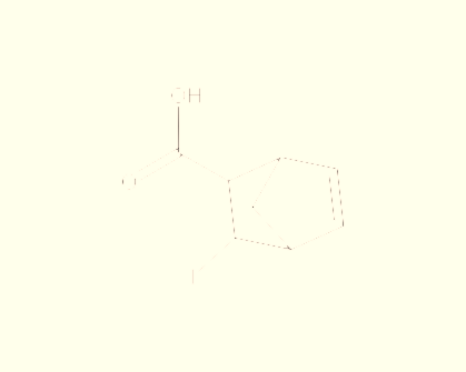 O=C(O)C1C2C=CC(C2)C1I